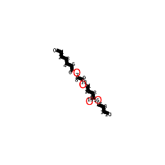 CCCCCCCOCCOCCCC(=O)OCCCC